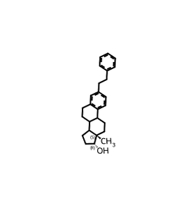 C[C@]12CCC3c4ccc(CCc5ccccc5)cc4CCC3C1CC[C@H]2O